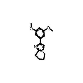 COc1cc(OC)cc(-c2cn3c(n2)CCCC3)c1